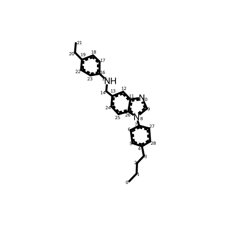 CCCCc1ccc(-n2cnc3cc(CNc4ccc(CC)cc4)ccc32)cc1